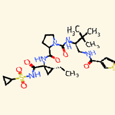 CC[C@@H]1C[C@]1(NC(=O)C1CCCN1C(=O)N[C@H](CNC(=O)c1ccsc1)C(C)(C)C)C(=O)NS(=O)(=O)C1CC1